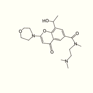 CC(O)c1cc(C(=O)N(C)CCN(C)C)cc2c(=O)cc(N3CCOCC3)oc12